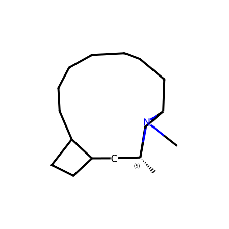 CN1C2CCCCCCCC3CCC3C[C@@]1(C)C2